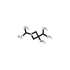 CC(C)N1CC(N)(C(C)C)C1